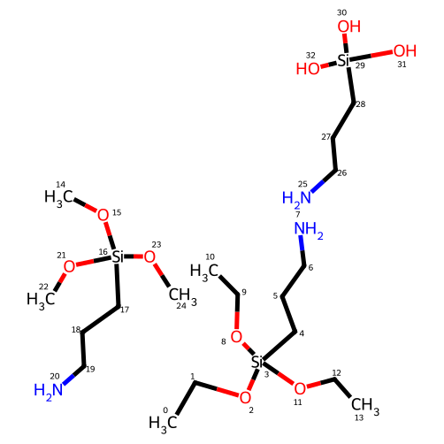 CCO[Si](CCCN)(OCC)OCC.CO[Si](CCCN)(OC)OC.NCCC[Si](O)(O)O